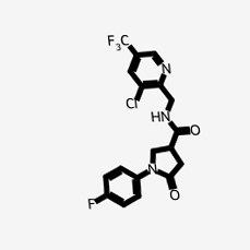 O=C(NCc1ncc(C(F)(F)F)cc1Cl)C1CC(=O)N(c2ccc(F)cc2)C1